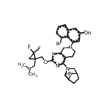 CN(C)CC1(COc2nc3c(c(N4CC5CCC(C4)N5)n2)CCN(c2cc(O)cc4cccc(Br)c24)C3)CC1(F)F